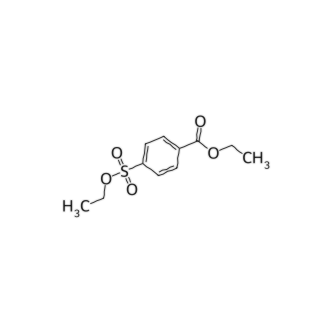 CCOC(=O)c1ccc(S(=O)(=O)OCC)cc1